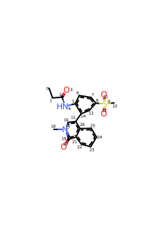 CCC(=O)Nc1ccc(S(C)(=O)=O)cc1-c1cn(C)c(=O)c2ccccc12